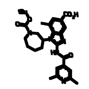 Cc1cc(C(=O)Nc2nc3cc(C(=O)O)cc(C)c3n2C2CCCCN(C(=O)OC(C)(C)C)C2)cc(C)n1